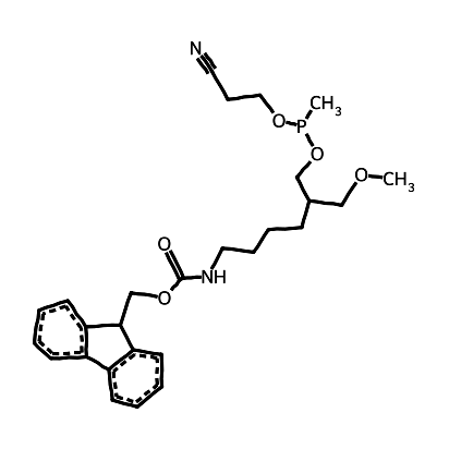 COCC(CCCCNC(=O)OCC1c2ccccc2-c2ccccc21)COP(C)OCCC#N